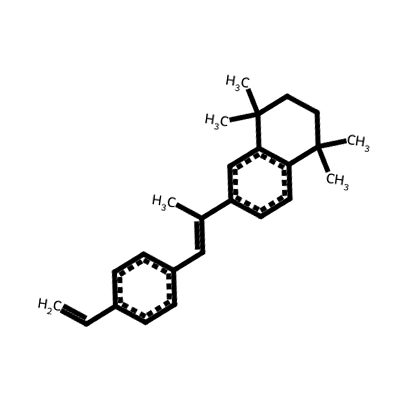 C=Cc1ccc(/C=C(\C)c2ccc3c(c2)C(C)(C)CCC3(C)C)cc1